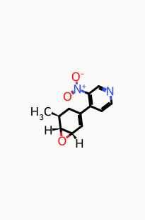 C[C@H]1CC(c2ccncc2[N+](=O)[O-])=C[C@@H]2O[C@@H]21